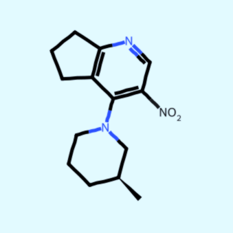 C[C@H]1CCCN(c2c([N+](=O)[O-])cnc3c2CCC3)C1